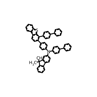 CC1(C)c2ccccc2-c2ccc(N(c3ccc(-c4ccccc4)cc3)c3ccc(-c4ccc5c(sc6ccccc65)c4-c4ccc(-c5ccccc5)cc4)cc3)cc21